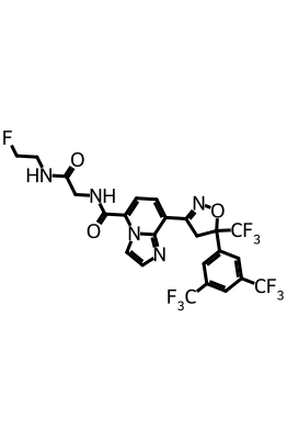 O=C(CNC(=O)c1ccc(C2=NOC(c3cc(C(F)(F)F)cc(C(F)(F)F)c3)(C(F)(F)F)C2)c2nccn12)NCCF